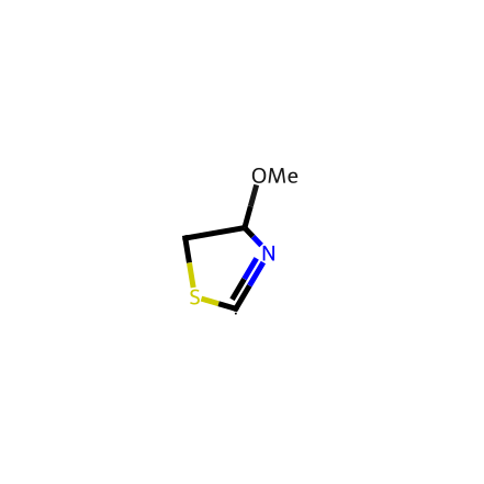 COC1CS[C]=N1